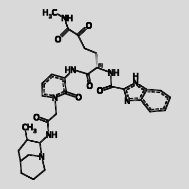 CNC(=O)C(=O)CC[C@H](NC(=O)c1nc2ccccc2[nH]1)C(=O)Nc1cccn(CC(=O)NC2C(C)CC3CCCN2C3)c1=O